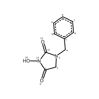 O=C1CN(Cc2ccccc2)C(=O)N1O